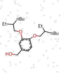 CCCCC(CC)COc1ccc(CO)cc1OCC(CC)CCCC